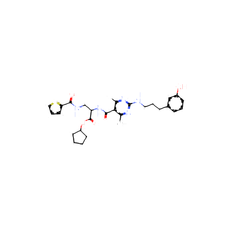 Cc1nc(NCCCc2cccc(O)c2)nc(C)c1C(=O)NC(CNC(=O)c1cccs1)C(=O)OC1CCCC1